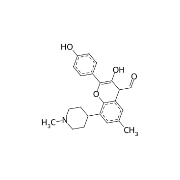 Cc1cc(C2CCN(C)CC2)c2c(c1)C(C=O)C(O)=C(c1ccc(O)cc1)O2